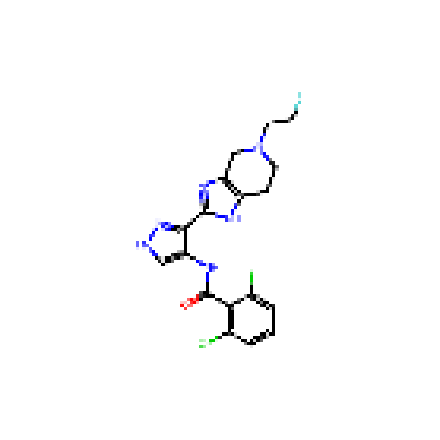 O=C(Nc1c[nH]nc1-c1nc2c([nH]1)CCN(CCF)C2)c1c(Cl)cccc1Cl